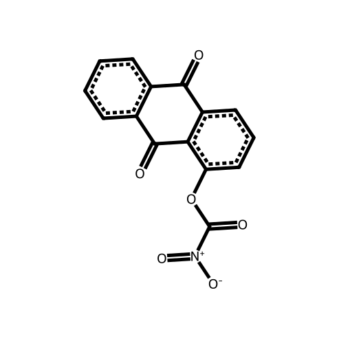 O=C1c2ccccc2C(=O)c2c(OC(=O)[N+](=O)[O-])cccc21